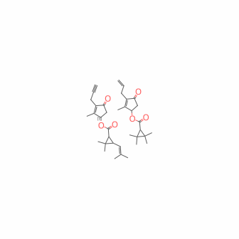 C#CCC1=C(C)[C@@H](OC(=O)C2C(C=C(C)C)C2(C)C)CC1=O.C=CCC1=C(C)C(OC(=O)C2C(C)(C)C2(C)C)CC1=O